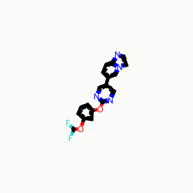 FC(F)Oc1cccc(Oc2ncc(-c3ccc4nccn4c3)cn2)c1